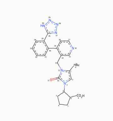 CCCCc1cn(C2CCCC2C(=O)O)c(=O)n1Cc1cnccc1-c1ccccc1-c1nnn[nH]1